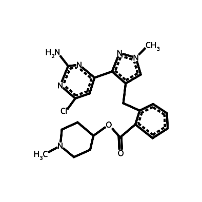 CN1CCC(OC(=O)c2ccccc2Cc2cn(C)nc2-c2cc(Cl)nc(N)n2)CC1